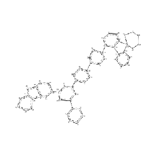 c1ccc(-c2nc(-c3ccc(-c4ccc(-c5cccc6c5-c5ccccc5C65CCCCC5)cc4)cc3)nc(-c3ccc4oc5ccccc5c4c3)n2)cc1